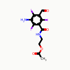 CC(=O)OCCNC(=O)c1c(I)c(N)c(I)c([C]=O)c1I